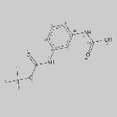 CC(C)(C)OC(=O)Nc1cccc(NC(=O)O)c1